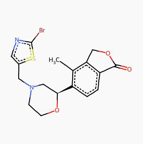 Cc1c([C@@H]2CN(Cc3cnc(Br)s3)CCO2)ccc2c1COC2=O